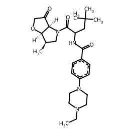 CCN1CCN(c2ccc(C(=O)NC(CC(C)(C)C)C(=O)N3C[C@@H](C)[C@H]4OCC(=O)[C@H]43)cc2)CC1